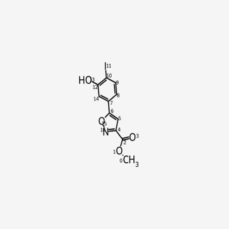 COC(=O)c1cc(-c2ccc(I)c(O)c2)on1